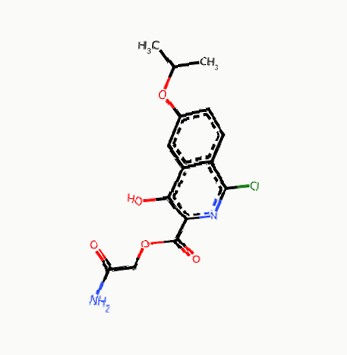 CC(C)Oc1ccc2c(Cl)nc(C(=O)OCC(N)=O)c(O)c2c1